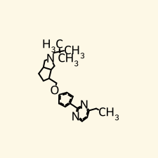 CCc1ccnc(-c2ccc(OCC3CCC4CN(CC(C)(C)C)CC34)cc2)n1